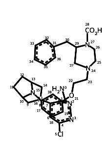 Nc1nnc(Cl)cc1N1CC2CCC(C1)N2c1cccc(OCCN2CCN(C(=O)O)C(Cc3ccccc3)C2)c1